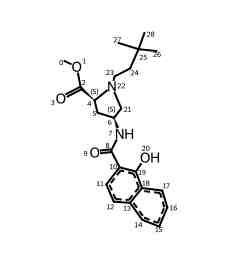 COC(=O)[C@@H]1C[C@H](NC(=O)c2ccc3ccccc3c2O)CN1CCC(C)(C)C